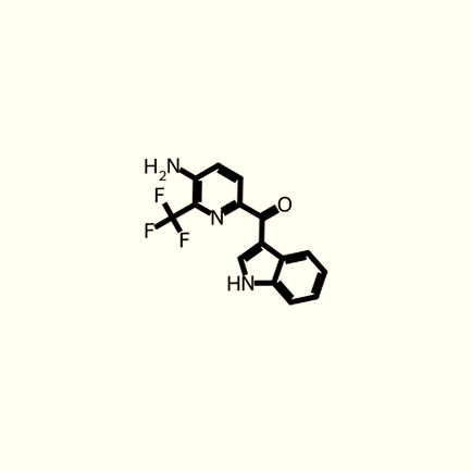 Nc1ccc(C(=O)c2c[nH]c3ccccc23)nc1C(F)(F)F